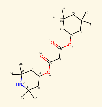 CC1(C)CC(OC(=O)CC(=O)OC2CC(C)(C)NC(C)(C)C2)CC(C)(C)C1